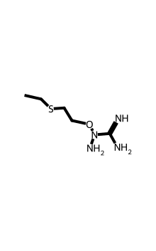 CCSCCON(N)C(=N)N